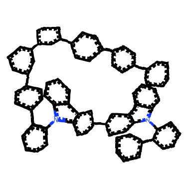 c1ccc(-c2ccc(-c3ccc(-c4cccc(-c5cccc(-c6ccc(-c7ccccc7-n7c8ccccc8c8cc(-c9ccc%10c(c9)c9ccccc9n%10-c9ccccc9-c9ccccc9)ccc87)cc6)c5)c4)cc3)cc2)cc1